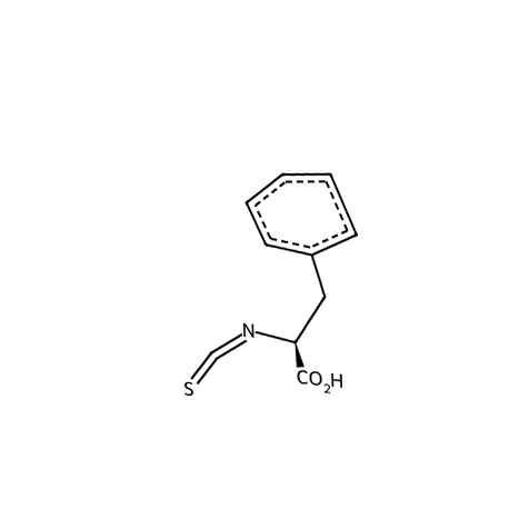 O=C(O)[C@H](Cc1ccccc1)N=C=S